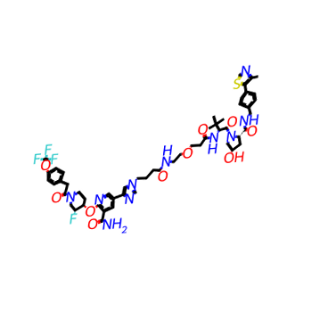 Cc1ncsc1-c1ccc(CNC(=O)[C@@H]2C[C@@H](O)CN2C(=O)C(NC(=O)CCOCCNC(=O)CCCn2cnc(-c3cnc(O[C@@H]4CCN(C(=O)Cc5ccc(OC(F)(F)F)cc5)C[C@H]4F)c(C(N)=O)c3)c2)C(C)(C)C)cc1